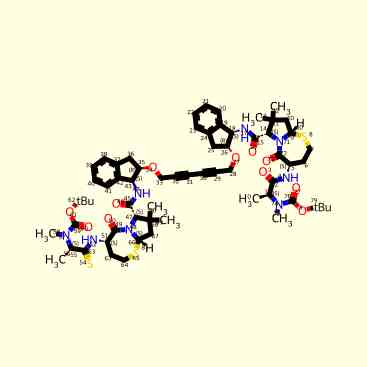 C[C@@H](C(=O)N[C@H]1CCS[C@H]2CC(C)(C)[C@@H](C(=O)N[C@H]3c4ccccc4C[C@H]3OCC#CC#CCO[C@@H]3Cc4ccccc4[C@@H]3NC(=O)[C@H]3N4C(=O)[C@@H](NC(=S)[C@H](C)N(C)C(=O)OC(C)(C)C)CCS[C@H]4CC3(C)C)N2C1=O)N(C)C(=O)OC(C)(C)C